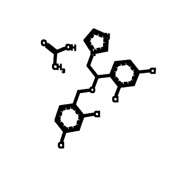 CC(=O)O.Clc1ccc(COC(Cn2ccnc2)c2ccc(Cl)cc2Cl)c(Cl)c1